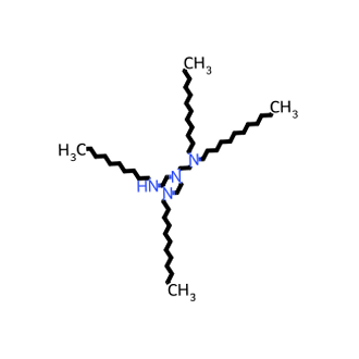 CCCCCCCCCCCCN(CCCCCCCCCCCC)CCN1CCN(CCCCCCCCCCCC)C(NCCCCCCCCCC)C1